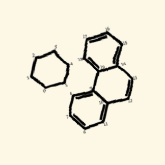 C1CCCCC1.c1ccc2c(c1)ccc1ccccc12